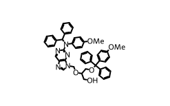 COc1ccc(N(c2ncc3ncn(COC(CO)COC(c4ccccc4)(c4ccccc4)c4ccc(OC)cc4)c3n2)C(c2ccccc2)c2ccccc2)cc1